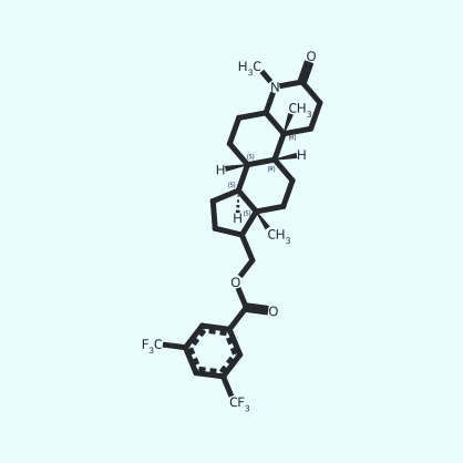 CN1C(=O)CC[C@@]2(C)C1CC[C@@H]1[C@H]2CC[C@]2(C)C(COC(=O)c3cc(C(F)(F)F)cc(C(F)(F)F)c3)CC[C@@H]12